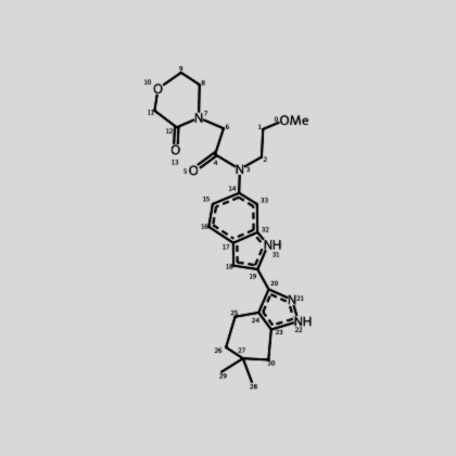 COCCN(C(=O)CN1CCOCC1=O)c1ccc2cc(-c3n[nH]c4c3CCC(C)(C)C4)[nH]c2c1